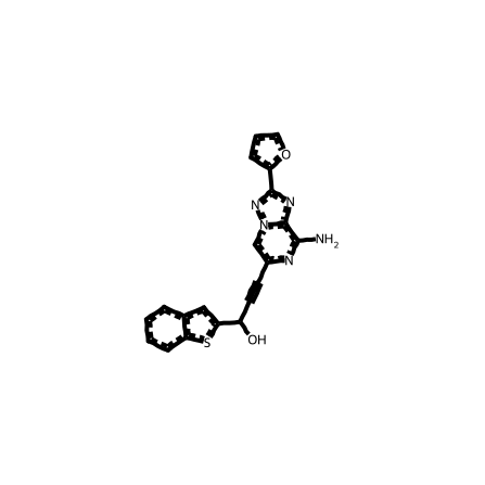 Nc1nc(C#CC(O)c2cc3ccccc3s2)cn2nc(-c3ccco3)nc12